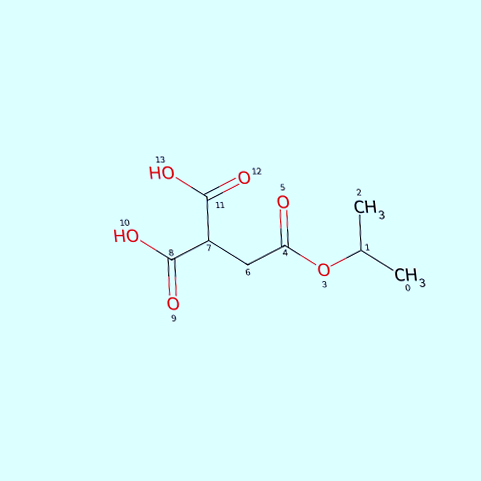 CC(C)OC(=O)CC(C(=O)O)C(=O)O